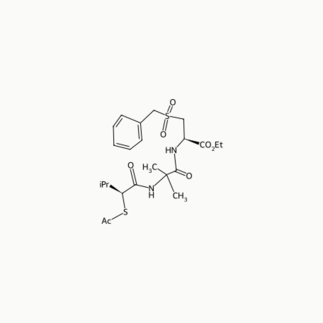 CCOC(=O)[C@H](CS(=O)(=O)Cc1ccccc1)NC(=O)C(C)(C)NC(=O)[C@@H](SC(C)=O)C(C)C